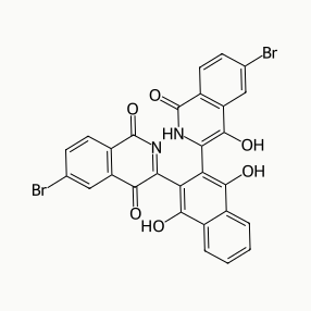 O=C1N=C(c2c(-c3[nH]c(=O)c4ccc(Br)cc4c3O)c(O)c3ccccc3c2O)C(=O)c2cc(Br)ccc21